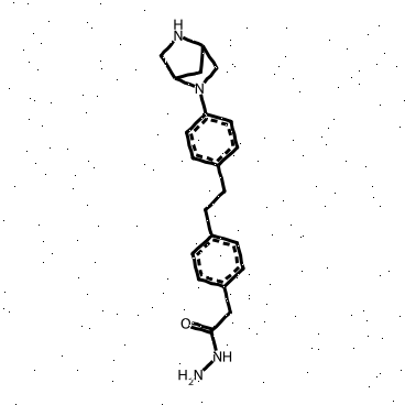 NNC(=O)Cc1ccc(CCc2ccc(N3CC4CC3CN4)cc2)cc1